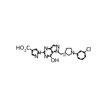 O=C(O)c1cnn(-c2nc(O)c3c(cnn3C[C@H]3CCN(c4cccc(Cl)c4)C3)n2)c1